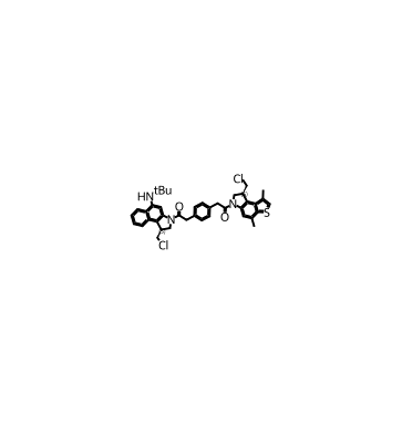 Cc1cc2c(c3c(C)csc13)[C@H](CCl)CN2C(=O)Cc1ccc(CC(=O)N2C[C@@H](CCl)c3c2cc(NC(C)(C)C)c2ccccc32)cc1